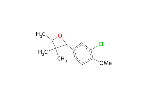 COc1ccc(C2OC(C)C2(C)C)cc1Cl